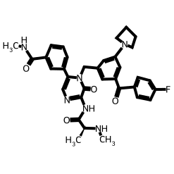 CNC(=O)c1cccc(-c2cnc(NC(=O)[C@H](C)NC)c(=O)n2Cc2cc(C(=O)c3ccc(F)cc3)cc(N3CCCC3)c2)c1